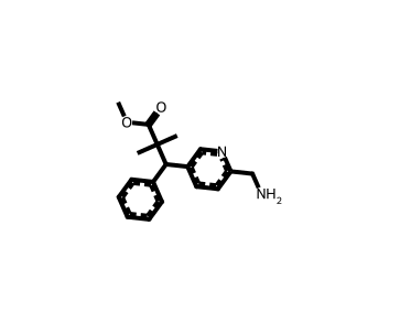 COC(=O)C(C)(C)C(c1ccccc1)c1ccc(CN)nc1